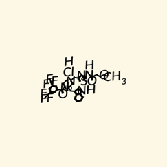 COCCC(=O)Nc1nc(CN2CCN(C(=O)c3cc(C(F)(F)F)cc(C(F)(F)F)c3)[C@H](Cc3c[nH]c4ccccc34)C2)cs1.Cl